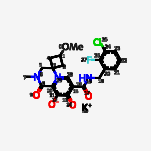 COC1CC2(C1)CN(C)C(=O)c1c([O-])c(=O)c(C(=O)NCc3cccc(Cl)c3F)cn12.[K+]